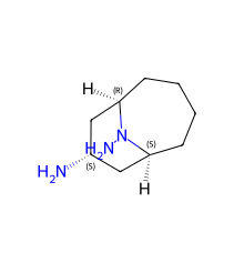 N[C@@H]1C[C@H]2CCCC[C@@H](C1)N2N